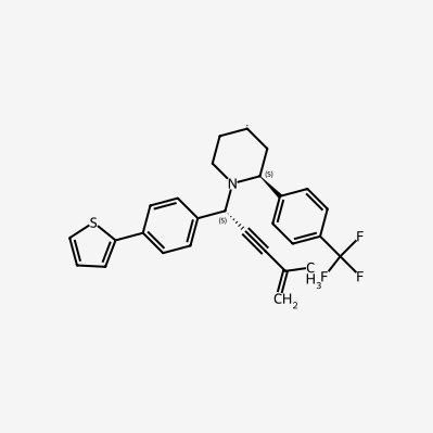 C=C(C)C#C[C@H](c1ccc(-c2cccs2)cc1)N1CC[CH]C[C@H]1c1ccc(C(F)(F)F)cc1